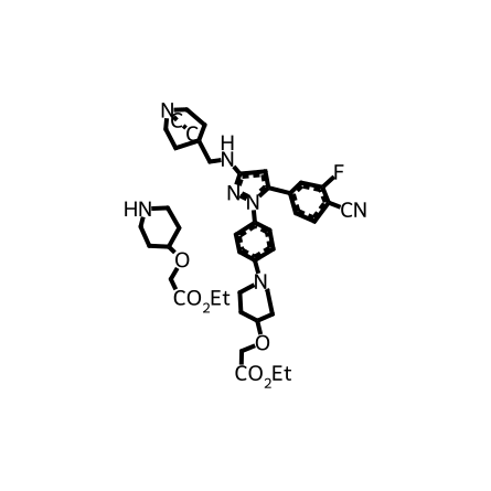 CCOC(=O)COC1CCN(c2ccc(-n3nc(NCC45CCN(CC4)CC5)cc3-c3ccc(C#N)c(F)c3)cc2)CC1.CCOC(=O)COC1CCNCC1